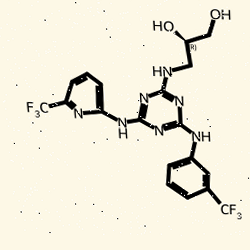 OC[C@H](O)CNc1nc(Nc2cccc(C(F)(F)F)c2)nc(Nc2cccc(C(F)(F)F)n2)n1